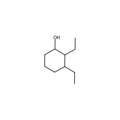 CCC1CCCC(O)C1CC